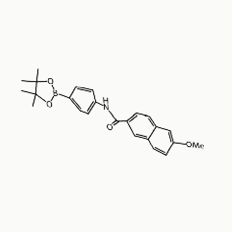 COc1ccc2cc(C(=O)Nc3ccc(B4OC(C)(C)C(C)(C)O4)cc3)ccc2c1